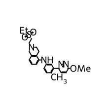 CCS(=O)(=O)CCN1CCc2c(cccc2Nc2ccc(C)c(-c3ccc(OC)nn3)c2)C1